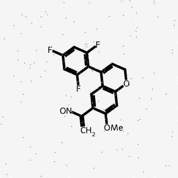 C=C(N=O)c1cc2c(cc1OC)OCC=C2c1c(F)cc(F)cc1F